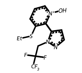 CCSc1ccc[n+](O)c1-c1ccnn1CC(F)(F)C(F)(F)F